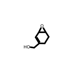 OCC1=CC2OC2CC1